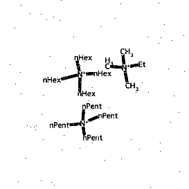 CCCCCC[N+](CCCCCC)(CCCCCC)CCCCCC.CCCCC[N+](CCCCC)(CCCCC)CCCCC.CC[N+](C)(C)C